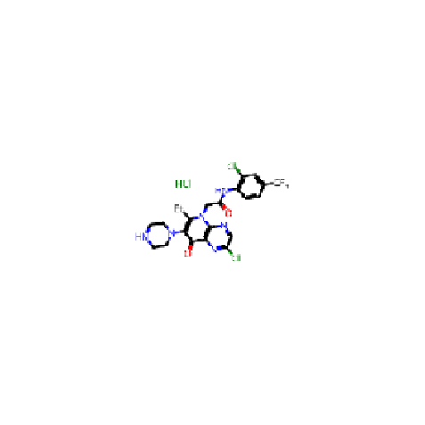 CCc1c(N2CCNCC2)c(=O)c2nc(Cl)cnc2n1CC(=O)Nc1ccc(C(F)(F)F)cc1Cl.Cl